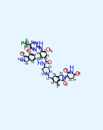 COc1cc(C(=O)NC2CCN(Cc3cc(F)c4c(c3)CN(C3CCC(=O)NC3=O)C4=O)CC2)c(F)cc1Nc1ncc(C(F)(F)F)c(Oc2cccc3c2C(=O)N(C)C3)n1